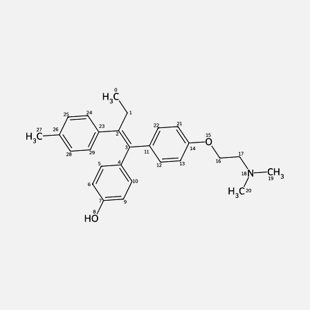 CCC(=C(c1ccc(O)cc1)c1ccc(OCCN(C)C)cc1)c1ccc(C)cc1